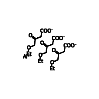 CCOCC(=O)CC(=O)[O-].CCOCC(=O)CC(=O)[O-].CCOCC(=O)CC(=O)[O-].[Al+3]